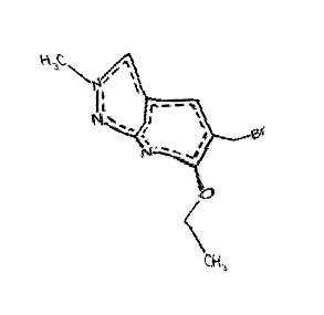 CCOc1nc2nn(C)cc2cc1Br